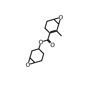 CC1=C(C(=O)OC2CCC3OC3C2)CCC2OC12